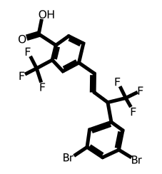 O=C(O)c1ccc(/C=C/C(c2cc(Br)cc(Br)c2)C(F)(F)F)cc1C(F)(F)F